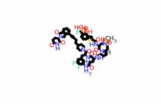 CS(=O)(=O)N1CC[C@H]2CC[C@@H](C(=O)NC(CCC(N)=O)C(=O)NC(Cc3ccc(F)c(F)c3)C(=O)N3CCC(CCC#Cc4cccc5c4CN(C4CCC(=O)NC4=O)C5=O)CC3)N2C(=O)[C@@H](NC(=O)c2cc3cc(C(F)(F)P(=O)(O)O)ccc3s2)C1